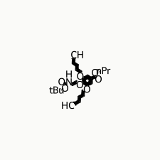 C#CCCCCOc1cc(C(=O)OCCC)cc(OCCCCC#C)c1OCCNC(=O)OC(C)(C)C